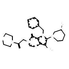 N#Cc1c(N2CCC[C@H](N)C2)n(Cc2ccccc2)c2c(=O)n(CC(=O)N3CCOCC3)cnc12